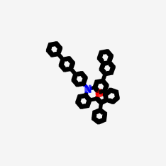 c1ccc(-c2ccc(-c3ccc(N(c4cccc(-c5ccc6ccccc6c5)c4)c4ccccc4-c4oc5ccccc5c4-c4ccccc4)cc3)cc2)cc1